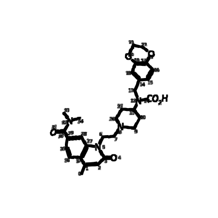 Cc1cc(=O)n(CCN2CCC(N(Cc3ccc4c(c3)OCCO4)C(=O)O)CC2)c2cc(C(=O)N(C)C)ccc12